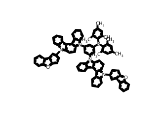 Cc1cc(C)c(B(c2cc(-n3c4ccccc4c4c5c6ccccc6n(-c6ccc7oc8ccccc8c7c6)c5ccc43)cc(-n3c4ccccc4c4c5c6ccccc6n(-c6ccc7oc8ccccc8c7c6)c5ccc43)c2)c2c(C)cc(C)cc2C)c(C)c1